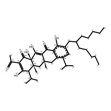 CCCCCC(CCCCC)Cc1cc(C(C)C)c2c(c1O)C(=O)C1=C(O)[C@@]3(O)C(=O)C(C(C)=O)=C(O)C(C(C)C)[C@@]3(C)C[C@@]1(C)C2